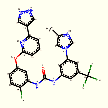 Cc1cn(-c2cc(NC(=O)Nc3cc(Oc4cccc(-c5cn[nH]c5)n4)ccc3F)cc(C(F)(F)F)c2)cn1